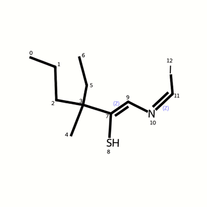 CCCC(C)(CC)/C(S)=C/N=C\I